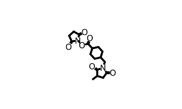 CC1CC(=O)N(CC2CCC(C(=O)ON3C(=O)CCC3=O)CC2)C1=O